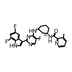 Cc1cccnc1C(=O)N[C@@H]1CCC[C@H](Nc2nc(-c3c[nH]c4c(F)cc(F)cc34)ncc2F)C1